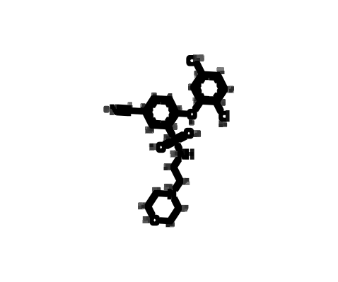 N#Cc1ccc(Oc2cc(Cl)ccc2Cl)c(S(=O)(=O)NCCN2CCOCC2)c1